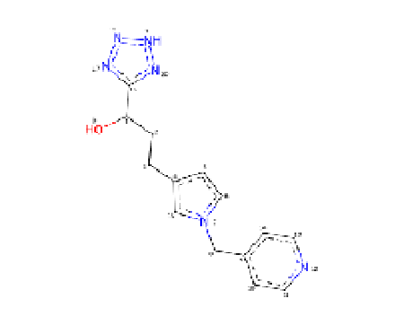 OC(CCc1ccn(Cc2ccncc2)c1)c1nn[nH]n1